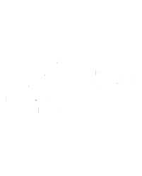 C[Si](C)(C)c1ccc2c(c1)Cc1c-2ccc([Si](C)(C)C)c1C1(C2=CC=CC2)CCC1